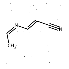 C/C=N\C=CC#N